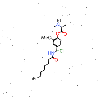 CCN(C)[C@@H](C)C(=O)Oc1ccc(CNC(=O)CCCC/C=C/C(C)C)cc1OC.Cl